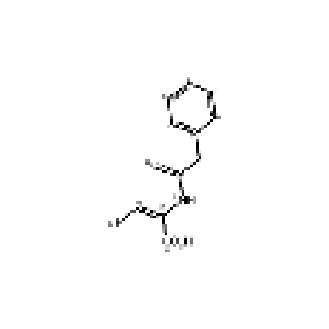 O=C(Cc1ccccc1)NC(=CF)C(=O)O